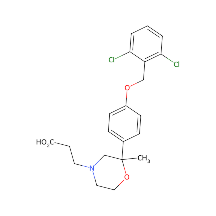 CC1(c2ccc(OCc3c(Cl)cccc3Cl)cc2)CN(CCC(=O)O)CCO1